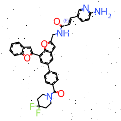 Nc1ccc(/C=C/C(=O)NCc2cc3cc(-c4ccc(C(=O)N5CCC(F)(F)CC5)cc4)cc(-c4cc5ccccc5o4)c3o2)cn1